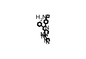 Cn1ccc(-c2nnc3c4cc(-c5ccccc5)c(-c5ccc(C6(N)CCC6)cc5)nc4ccn23)n1